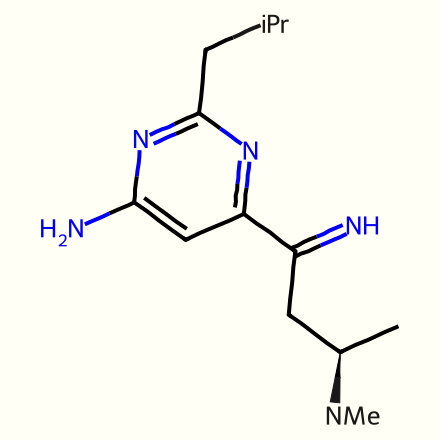 CN[C@H](C)CC(=N)c1cc(N)nc(CC(C)C)n1